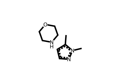 C1COCCN1.Cc1ccnn1C